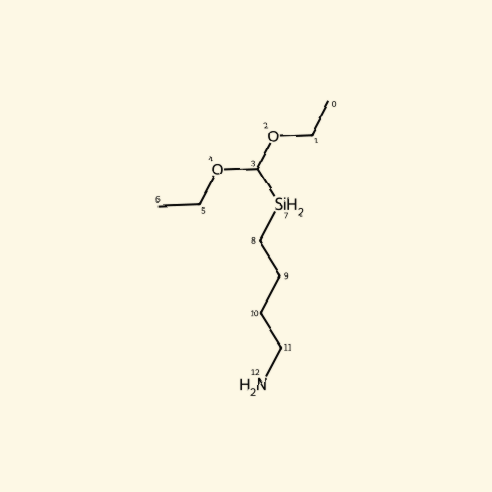 CCOC(OCC)[SiH2]CCCCN